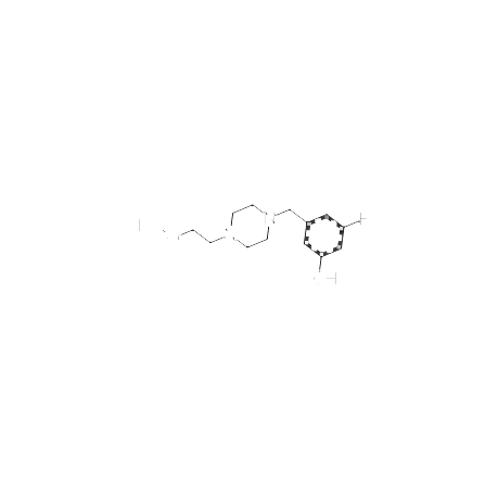 COCCN1CCN(Cc2cc(C)cc(F)c2)CC1